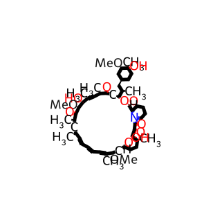 CO[C@H]1C[C@@H]2CC[C@@H](C)[C@@](O)(O2)C(=O)C(=O)N2CCCC[C@H]2C(=O)O[C@H]([C@H](C)C[C@@H]2CC[C@@](C)(O)[C@H](OC)C2)CC(=O)[C@H](C)/C=C(\C)[C@@H](O)[C@@H](OC)C(=O)[C@H](C)C[C@H](C)/C=C/C=C/C=C/1C